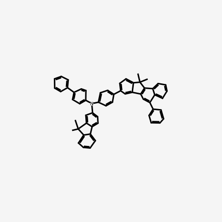 CC1(C)c2ccccc2-c2ccc(N(c3ccc(-c4ccccc4)cc3)c3ccc(-c4ccc5c(c4)-c4cc(-c6ccccc6)c6ccccc6c4C5(C)C)cc3)cc21